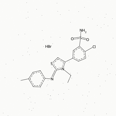 Br.CCn1c(-c2ccc(Cl)c(S(N)(=O)=O)c2)csc1=Nc1ccc(C)cc1